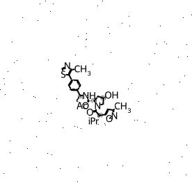 CC(=O)C[C@H](NC(=O)[C@@H]1C[C@@H](O)CN1C(=O)[C@@H](c1cc(C)no1)C(C)C)c1ccc(-c2scnc2C)cc1